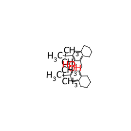 CC(C)(C)c1cc2c(c(Cc3c(O)c(C(C)(C)C)cc4c3CCCC4)c1O)CCCC2